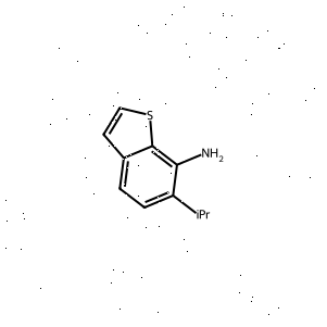 CC(C)c1ccc2ccsc2c1N